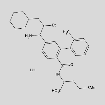 CCC(CC1CCCCC1)C(N)c1ccc(C(=O)NC(CCSC)C(=O)O)c(-c2ccccc2C)c1.[LiH]